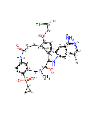 CN1Cc2cc(ccc2S(=O)(=O)C2CC2)NC(=O)CCc2cc(ccc2OCC(F)F)[C@@H](Nc2ccc3c(N)ncc(F)c3c2)C1=O